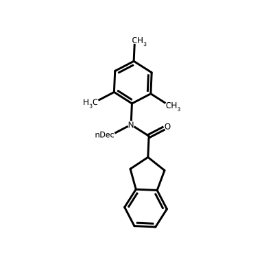 CCCCCCCCCCN(C(=O)C1Cc2ccccc2C1)c1c(C)cc(C)cc1C